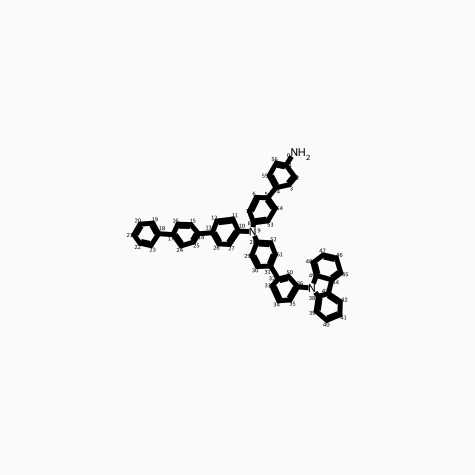 Nc1ccc(-c2ccc(N(c3ccc(-c4ccc(-c5ccccc5)cc4)cc3)c3ccc(-c4cccc(-n5c6ccccc6c6ccccc65)c4)cc3)cc2)cc1